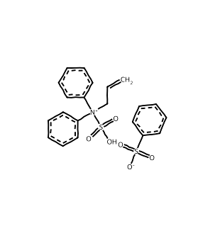 C=CC[N+](c1ccccc1)(c1ccccc1)S(=O)(=O)O.O=S(=O)([O-])c1ccccc1